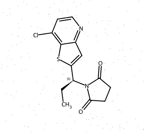 CC[C@@H](c1cc2nccc(Cl)c2s1)N1C(=O)CCC1=O